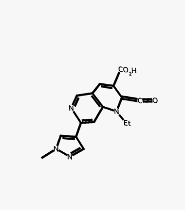 CCN1C(=C=O)C(C(=O)O)=Cc2cnc(-c3cnn(C)c3)cc21